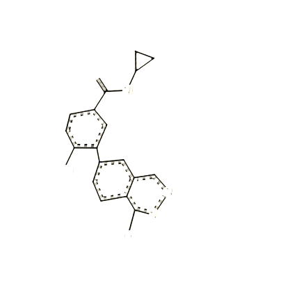 Cc1ccc(C(=O)NC2CC2)cc1-c1ccc2c(O)nncc2c1